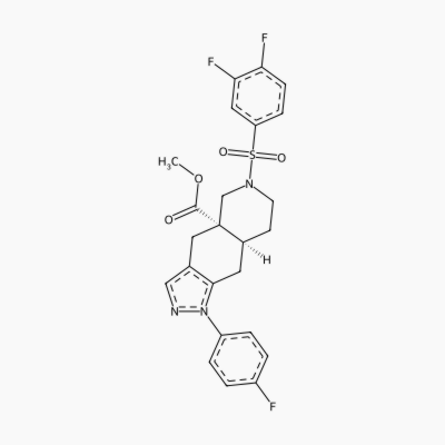 COC(=O)[C@@]12Cc3cnn(-c4ccc(F)cc4)c3C[C@@H]1CCN(S(=O)(=O)c1ccc(F)c(F)c1)C2